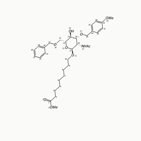 COC(=O)CCCCCCCCO[C@H]1O[C@H](COCc2ccccc2)[C@@H](O)[C@H](OCc2ccc(OC)cc2)[C@@H]1NC(C)=O